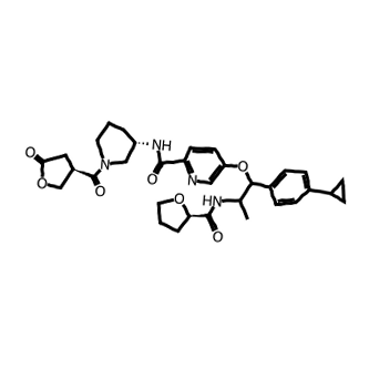 CC(NC(=O)[C@H]1CCCO1)C(Oc1ccc(C(=O)N[C@H]2CCCN(C(=O)[C@H]3COC(=O)C3)C2)nc1)c1ccc(C2CC2)cc1